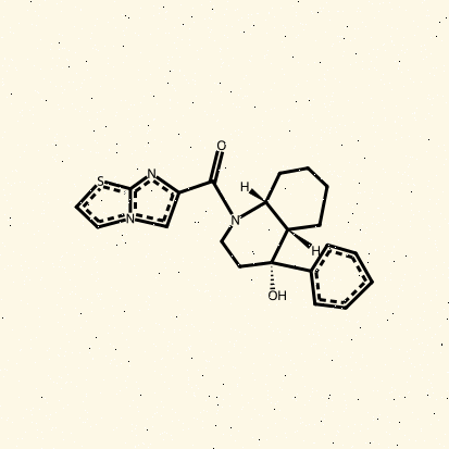 O=C(c1cn2ccsc2n1)N1CC[C@](O)(c2ccccc2)[C@H]2CCCC[C@H]21